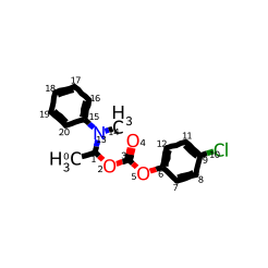 CC(OC(=O)Oc1ccc(Cl)cc1)N(C)c1ccccc1